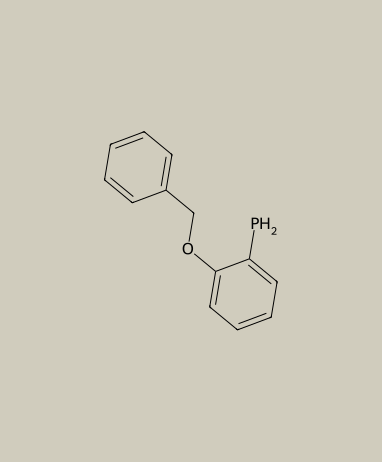 Pc1ccccc1OCc1ccccc1